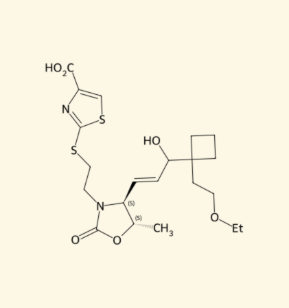 CCOCCC1(C(O)C=C[C@H]2[C@H](C)OC(=O)N2CCSc2nc(C(=O)O)cs2)CCC1